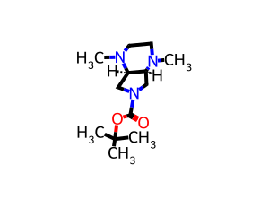 CN1CCN(C)[C@H]2CN(C(=O)OC(C)(C)C)C[C@H]21